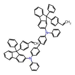 C=Cc1ccc(C2(c3ccccc3)c3ccccc3-c3ccc(N(c4ccccc4)c4ccc(-c5ccc(N(c6ccccc6)c6ccc7c(c6)C(c6ccccc6)(c6ccc(C=C)cc6)c6ccccc6-7)cc5)cc4)cc32)cc1